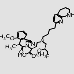 COc1cccc(C#N)c1[C@H](C)C(=O)N[C@@H](CCN(CCCCc1ccc2c(n1)NCCC2)C[C@@H](CF)OC)C(=O)O